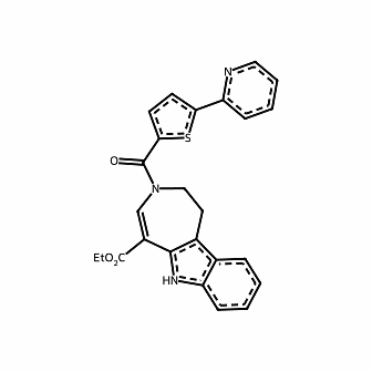 CCOC(=O)C1=CN(C(=O)c2ccc(-c3ccccn3)s2)CCc2c1[nH]c1ccccc21